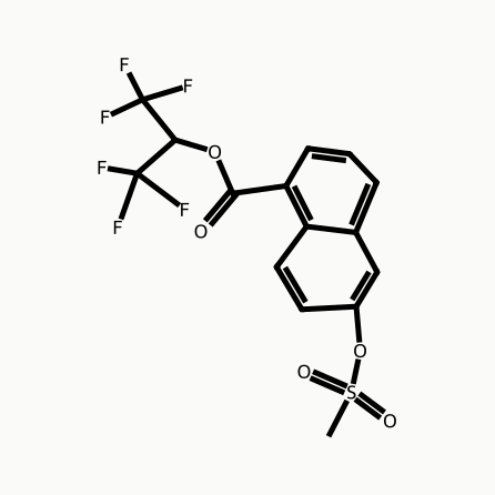 CS(=O)(=O)Oc1ccc2c(C(=O)OC(C(F)(F)F)C(F)(F)F)cccc2c1